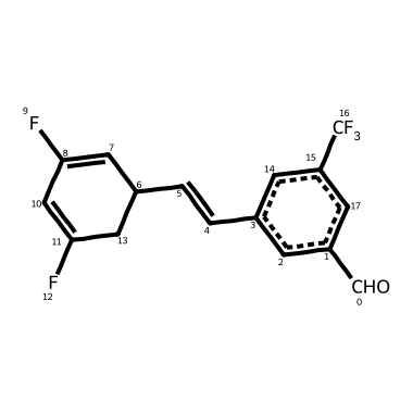 O=Cc1cc(/C=C/C2C=C(F)C=C(F)C2)cc(C(F)(F)F)c1